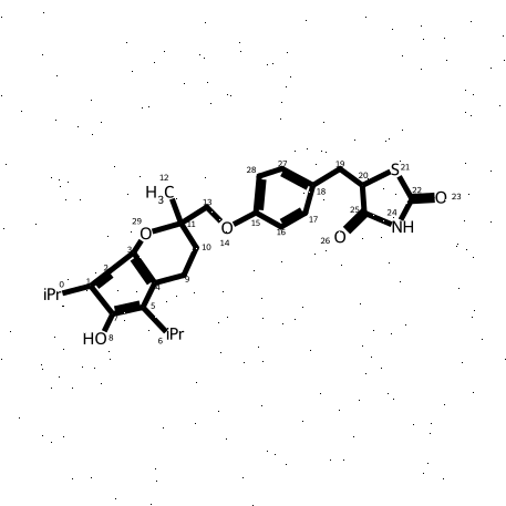 CC(C)c1cc2c(c(C(C)C)c1O)CCC(C)(COc1ccc(CC3SC(=O)NC3=O)cc1)O2